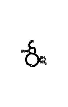 BC1(N)CCCCCCC2C(CC/C(=N\C(C)C)N2C(C)C)C1